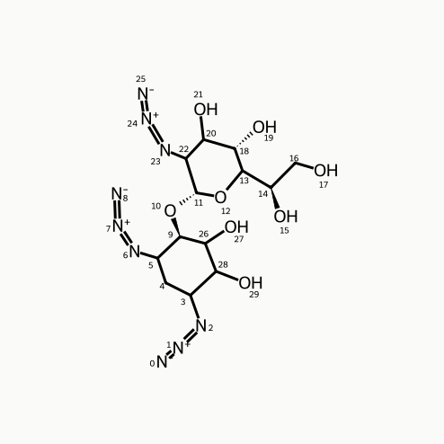 [N-]=[N+]=NC1CC(N=[N+]=[N-])[C@@H](O[C@H]2OC([C@H](O)CO)[C@@H](O)C(O)C2N=[N+]=[N-])C(O)C1O